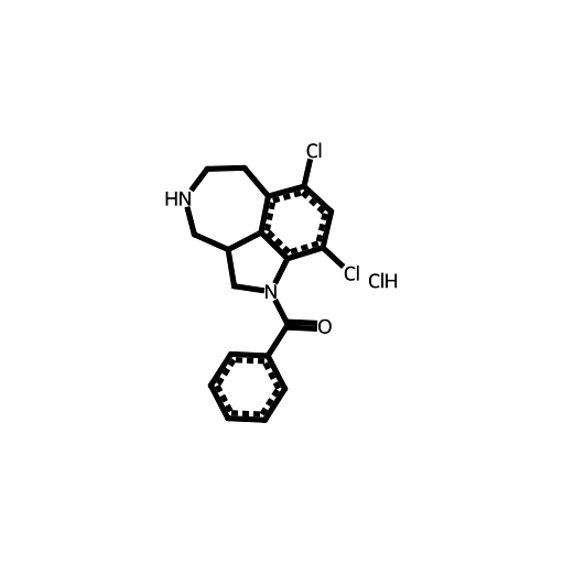 Cl.O=C(c1ccccc1)N1CC2CNCCc3c(Cl)cc(Cl)c1c32